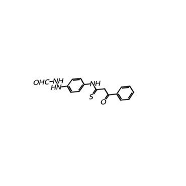 O=CNNc1ccc(NC(=S)CC(=O)c2ccccc2)cc1